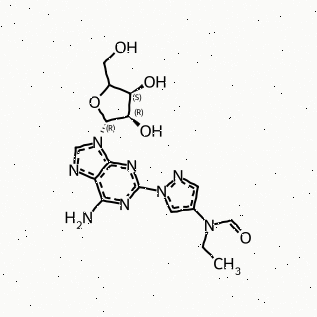 CCN(C=O)c1cnn(-c2nc(N)c3ncn([C@@H]4OC(CO)[C@@H](O)[C@H]4O)c3n2)c1